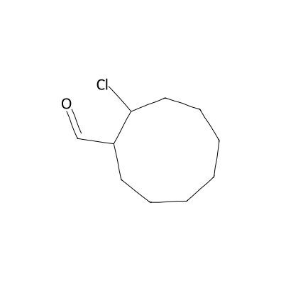 O=CC1CCCCCCCC1Cl